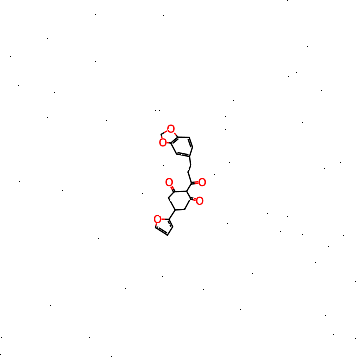 O=C(CCc1ccc2c(c1)OCO2)C1C(=O)CC(c2ccco2)CC1=O